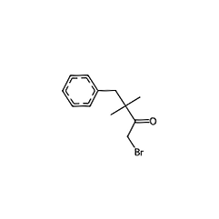 CC(C)(Cc1ccccc1)C(=O)CBr